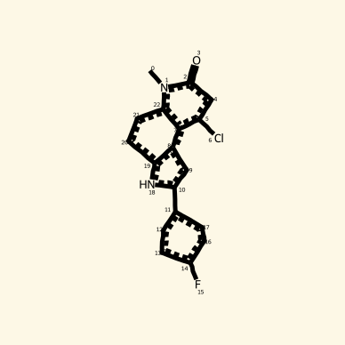 Cn1c(=O)cc(Cl)c2c3cc(-c4ccc(F)cc4)[nH]c3ccc21